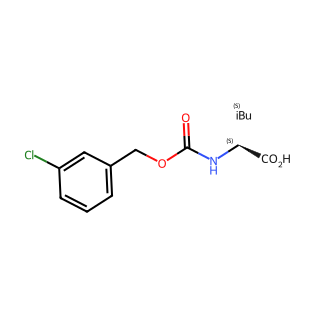 CC[C@H](C)[C@H](NC(=O)OCc1cccc(Cl)c1)C(=O)O